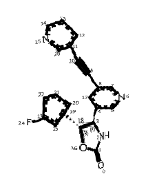 O=C1N[C@H](c2cncc(C#Cc3cccnc3)c2)[C@@H](c2cccc(F)c2)O1